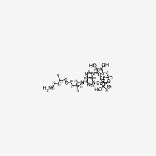 CCC(C)(CC1O[C@@H](n2cnc3c(NCC(C)(C)CCOCC(C)CCCN)ncnc32)[C@H](O)[C@@H]1O)OP1(=O)OCC1(O)CC